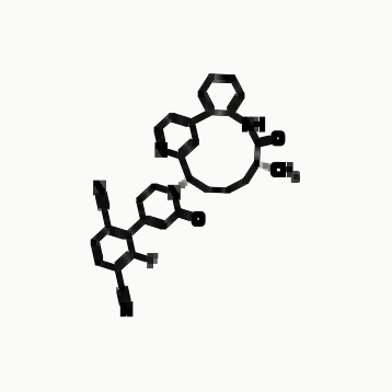 C[C@@H]1CCC[C@H](N2CCC(c3c(C#N)ccc(C#N)c3F)=CC2=O)c2cc(ccn2)-c2ccccc2NC1=O